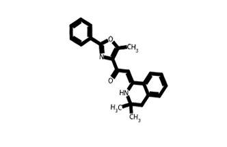 Cc1oc(-c2ccccc2)nc1C(=O)C=C1NC(C)(C)Cc2ccccc21